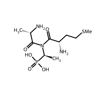 CSCC[C@H](N)C(=O)N(C(=O)[C@H](C)N)[C@@H](C)P(=O)(O)O